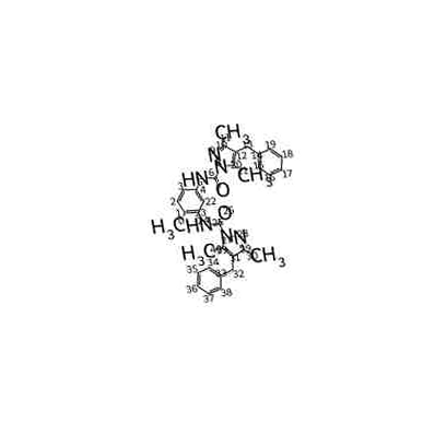 Cc1ccc(NC(=O)n2nc(C)c(Cc3ccccc3)c2C)cc1NC(=O)n1nc(C)c(Cc2ccccc2)c1C